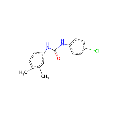 Cc1ccc(NC(=O)Nc2ccc(Cl)cc2)cc1C